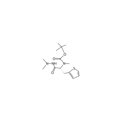 CN(C)NC(=O)[C@@H](Cc1cccs1)N(C)C(=O)OC(C)(C)C